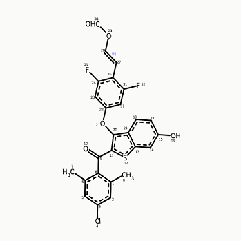 Cc1cc(Cl)cc(C)c1C(=O)c1sc2cc(O)ccc2c1Oc1cc(F)c(/C=C/OC=O)c(F)c1